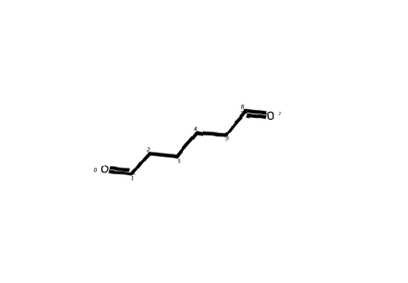 O=[C]CCCC[C]=O